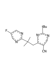 CC(C)(C)c1ncc(C#N)c(CC(C)(C)c2ncc(F)cn2)n1